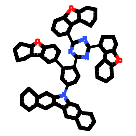 c1ccc2cc3c(cc2c1)c1cc2ccccc2cc1n3-c1ccc(-c2nc(-c3cccc4oc5ccccc5c34)nc(-c3cccc4oc5ccccc5c34)n2)c(-c2ccc3oc4ccccc4c3c2)c1